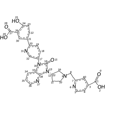 O=C(O)c1ccnc(CN2CC[C@H](n3c(=O)n(-c4ccc(-c5ccc(O)c(C(=O)O)c5)nc4)c4cccnc43)C2)c1